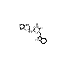 NC(=O)C(Cc1c[nH]c2ccccc12)OC(=O)NC(CO)Cc1ccccc1